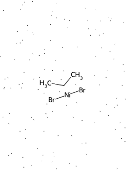 CCC.[Br][Ni][Br]